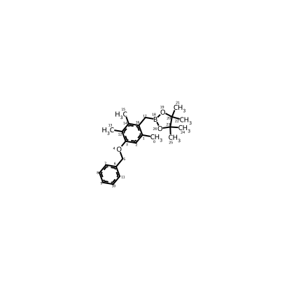 Cc1cc(OCc2ccccc2)c(C)c(C)c1CB1OC(C)(C)C(C)(C)O1